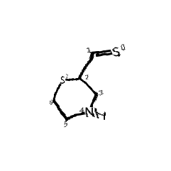 S=[C]C1CNCCS1